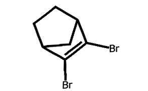 BrC1=C(Br)C2CCC1C2